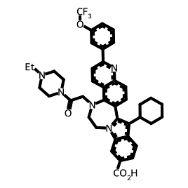 CCN1CCN(C(=O)CN2CCn3c(c(C4CCCCC4)c4ccc(C(=O)O)cc43)-c3ccc4nc(-c5cccc(OC(F)(F)F)c5)ccc4c32)CC1